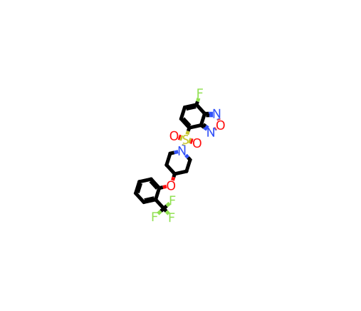 O=S(=O)(c1ccc(F)c2nonc12)N1CCC(Oc2ccccc2C(F)(F)F)CC1